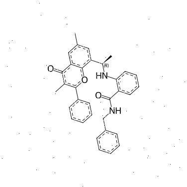 Cc1cc([C@@H](C)Nc2ccccc2C(=O)NCc2ccccc2)c2oc(-c3ccccc3)c(C)c(=O)c2c1